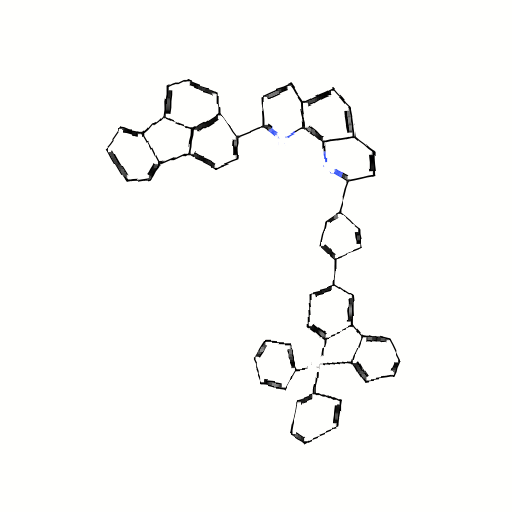 c1ccc([Si]2(c3ccccc3)c3ccccc3-c3cc(-c4ccc(-c5ccc6ccc7ccc(-c8ccc9c%10c(cccc8%10)-c8ccccc8-9)nc7c6n5)cc4)ccc32)cc1